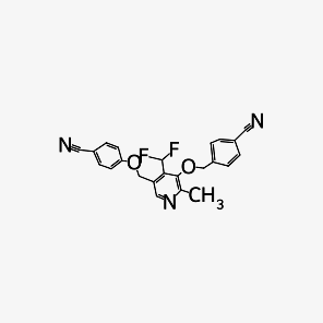 Cc1ncc(COc2ccc(C#N)cc2)c(C(F)F)c1OCc1ccc(C#N)cc1